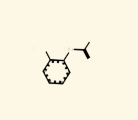 CCOC(=O)C(=O)Nc1ccccc1C(=O)O